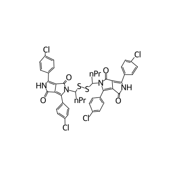 CCCC(SSC(CCC)N1C(=O)C2=C(c3ccc(Cl)cc3)NC(=O)C2=C1c1ccc(Cl)cc1)N1C(=O)C2=C(c3ccc(Cl)cc3)NC(=O)C2=C1c1ccc(Cl)cc1